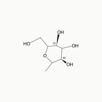 CC1OC(CO)[C@@H](O)C(O)[C@H]1O